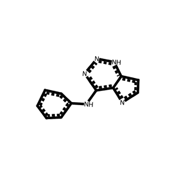 c1ccc(Nc2nn[nH]c3ccnc2-3)cc1